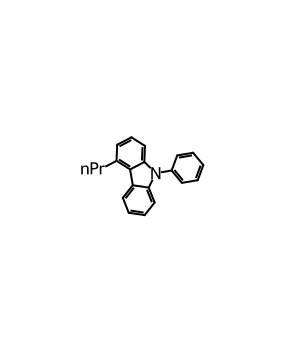 CCCc1cccc2c1c1ccccc1n2-c1ccccc1